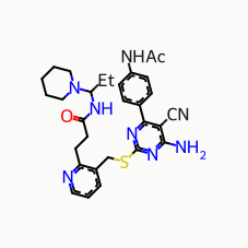 CCC(NC(=O)CCc1ncccc1CSc1nc(N)c(C#N)c(-c2ccc(NC(C)=O)cc2)n1)N1CCCCC1